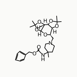 CC1(NC(=O)OCc2ccccc2)CCN(C[C@H]2O[C@@H]3OC(C)(C)O[C@@H]3[C@H]3OC(C)(C)O[C@H]32)CC1